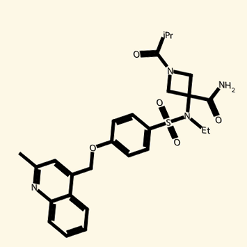 CCN(C1(C(N)=O)CN(C(=O)C(C)C)C1)S(=O)(=O)c1ccc(OCc2cc(C)nc3ccccc23)cc1